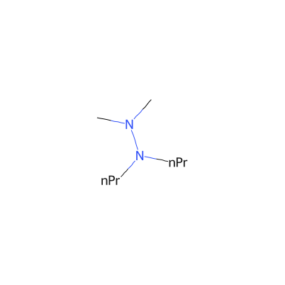 CCCN(CCC)N(C)C